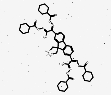 CCC1(CC)c2cc(C(=N/OC(=O)C3CCCCC3)/C(C)=N/OC(=O)C3CCCCC3)ccc2-c2ccc(C(=N/OC(=O)C3CCCCC3)/C(C)=N/OC(=O)C3CCCCC3)cc21